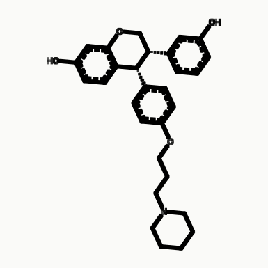 Oc1cccc([C@H]2COc3cc(O)ccc3[C@H]2c2ccc(OCCCN3CCCCC3)cc2)c1